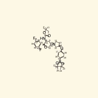 CC(C)(C)OC(=O)N[C@H]1C[C@@H](N2CC[C@@H](Oc3ccc(B4OC(C)(C)C(C)(C)O4)cc3)C2)CO[C@@H]1c1cc(F)ccc1F